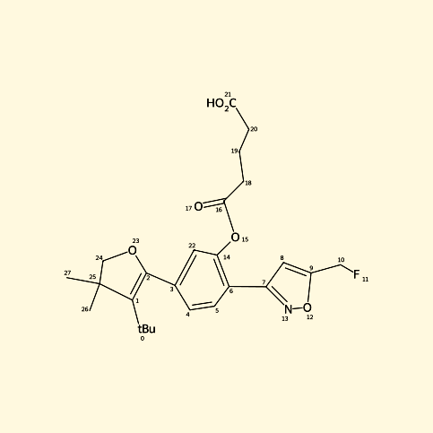 CC(C)(C)C1=C(c2ccc(-c3cc(CF)on3)c(OC(=O)CCCC(=O)O)c2)OCC1(C)C